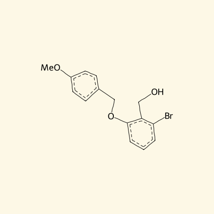 COc1ccc(COc2cccc(Br)c2CO)cc1